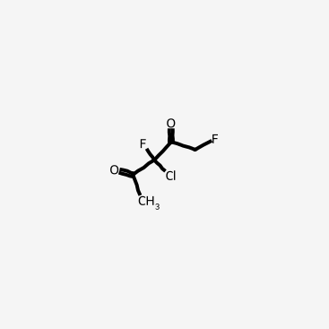 CC(=O)C(F)(Cl)C(=O)CF